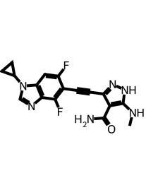 CNc1[nH]nc(C#Cc2c(F)cc3c(ncn3C3CC3)c2F)c1C(N)=O